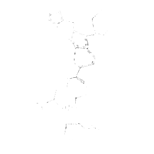 CCC(CC)n1c(Cc2cccs2)nc2cc(C(=O)N[C@@H](CC(C)C)C(=O)NCC3CCCCN3C)ccc21